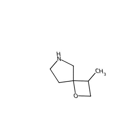 CC1COC12CCNC2